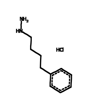 Cl.NNCCCCc1ccccc1